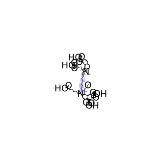 CCN1c2ccc3ccc(S(=O)(=O)O)cc3c2C(C)(CCCS(=O)(=O)O)C1/C=C/C=C/C=C/C=C1/N(CCCCCC(=O)O)c2ccc3c(S(=O)(=O)O)cc(S(=O)(=O)O)cc3c2C1(C)CCOC